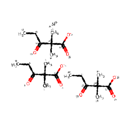 CCC(=O)C(C)(C)C(=O)[O-].CCC(=O)C(C)(C)C(=O)[O-].CCC(=O)C(C)(C)C(=O)[O-].[Al+3]